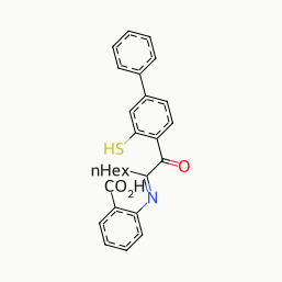 CCCCCCC(=Nc1ccccc1C(=O)O)C(=O)c1ccc(-c2ccccc2)cc1S